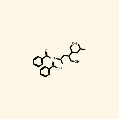 CC(C)CC(CO)C(CO)CC(C)C.O=C(O)c1ccccc1.O=C(O)c1ccccc1